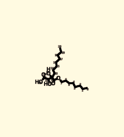 CCCCCCCCOC(=O)C(O)(CCCCCCCC)C(O)C(=O)O